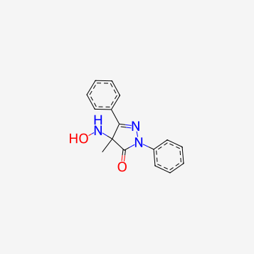 CC1(NO)C(=O)N(c2ccccc2)N=C1c1ccccc1